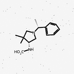 C[C@H](c1ccccc1)N1C[C@H](NC(=O)O)C(C)(C)C1